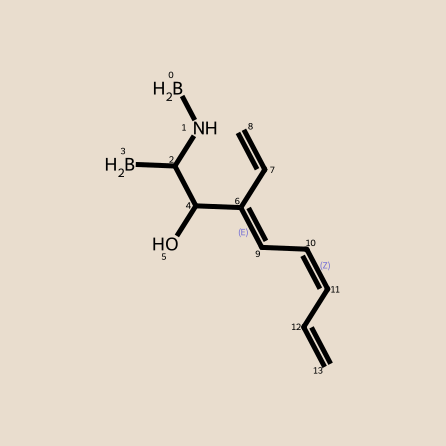 BNC(B)C(O)/C(C=C)=C/C=C\C=C